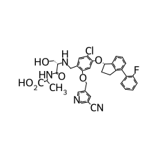 C[C@H](NC(=O)[C@H](CO)NCc1cc(Cl)c(O[C@H]2CCc3c(-c4ccccc4F)cccc32)cc1OCc1cncc(C#N)c1)C(=O)O